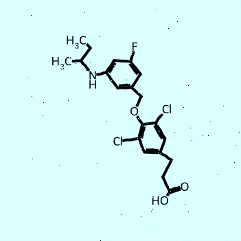 CCC(C)Nc1cc(F)cc(COc2c(Cl)cc(CCC(=O)O)cc2Cl)c1